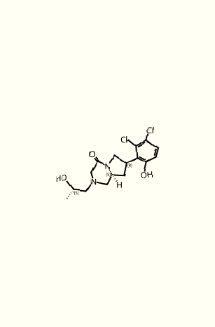 C[C@H](O)CN1CC(=O)N2C[C@@H](c3c(O)ccc(Cl)c3Cl)C[C@H]2C1